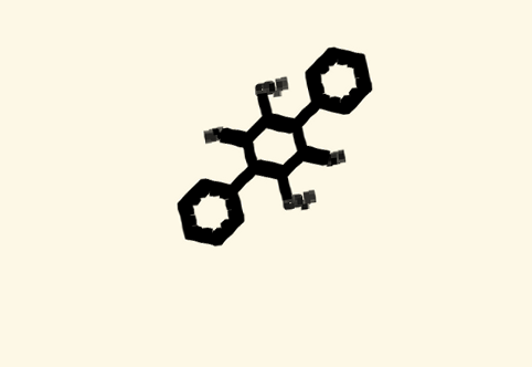 N=C1C(C(=O)O)=C(c2ccccc2)C(=N)C(C(=O)O)=C1c1ccccc1